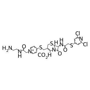 NCCNC(=O)C[n+]1ccc(SCC2=C(C(=O)O)N3C(=O)[C@H](NC(=O)CSc4cc(Cl)nc(Cl)c4)[C@H]3SC2)cc1